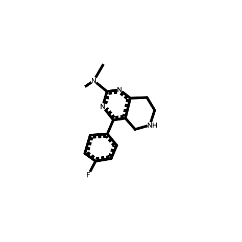 CN(C)c1nc2c(c(-c3ccc(F)cc3)n1)CNCC2